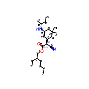 CCCCC(CC)COC(=O)/C(C#N)=C1\C=C(NC(C)CC)CC(C)(C)C1